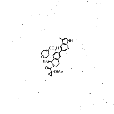 COC1(C(=O)N2CCc3cc(-c4cnc5[nH]cc(C)c5c4)cc([C@@H]4COCCN4C(=O)O)c3C2C(C)(C)C)CC1